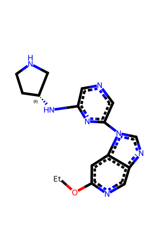 CCOc1cc2c(cn1)ncn2-c1cncc(N[C@@H]2CCNC2)n1